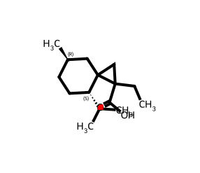 CCC1(C(=O)O)CC12C[C@H](C)CC[C@H]2C(C)C